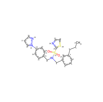 CCCc1cccc(CN(Cc2ccc(-n3cccn3)cc2)S(=O)(=O)c2nccs2)c1